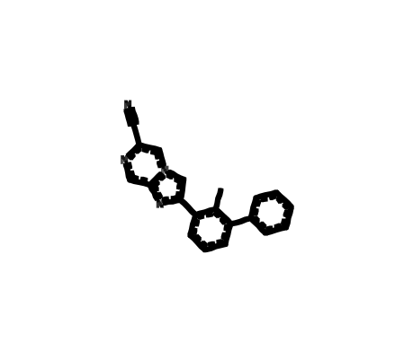 Cc1c(-c2ccccc2)cccc1-c1cn2cc(C#N)ncc2n1